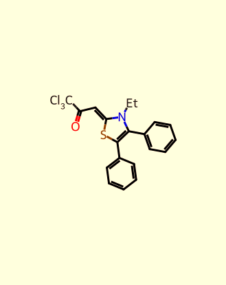 CCN1C(=CC(=O)C(Cl)(Cl)Cl)SC(c2ccccc2)=C1c1ccccc1